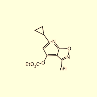 CCCc1noc2nc(C3CC3)cc(OC(=O)OCC)c12